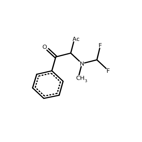 CC(=O)C(C(=O)c1ccccc1)N(C)C(F)F